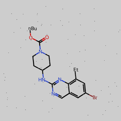 CCCCOC(=O)N1CCC(Nc2ncc3cc(Br)cc(CC)c3n2)CC1